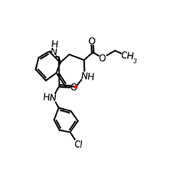 CCOC(=O)C1CC23C(=CCN1)C=CC=C2NCC3C(=O)Nc1ccc(Cl)cc1